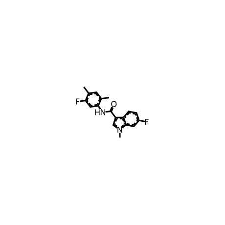 Cc1cc(C)c(NC(=O)c2cn(C)c3cc(F)ccc23)cc1F